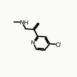 C=C(CNC)c1cc(Cl)ccn1